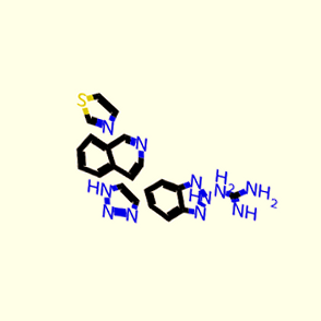 N=C(N)N.c1c[nH]nn1.c1ccc2[nH]nnc2c1.c1ccc2cnccc2c1.c1cscn1